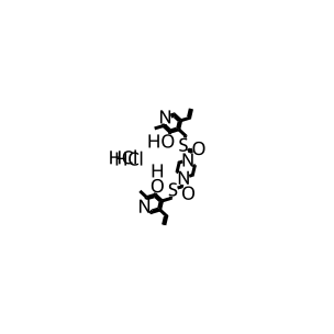 C=Cc1cnc(C)c(O)c1CSC(=O)N1CCN(C(=O)SCc2c(C=C)cnc(C)c2O)CC1.Cl.Cl